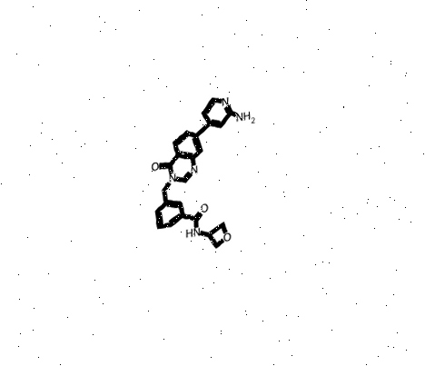 Nc1cc(-c2ccc3c(=O)n(Cc4cccc(C(=O)NC5COC5)c4)cnc3c2)ccn1